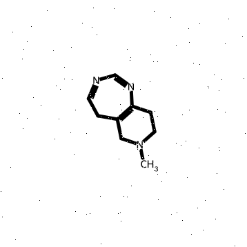 CN1CCC2=C(CC=NC=N2)C1